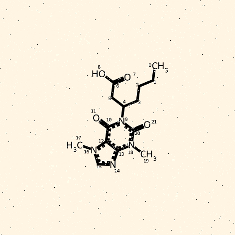 CCCCC(CC(=O)O)n1c(=O)c2c(ncn2C)n(C)c1=O